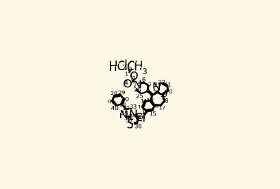 CCOC(=O)N1CCC(=C2c3ccc(Cl)cc3CCc3cccnc32)CC1.Cl.c1ccc(C2CN3CCSC3=N2)cc1